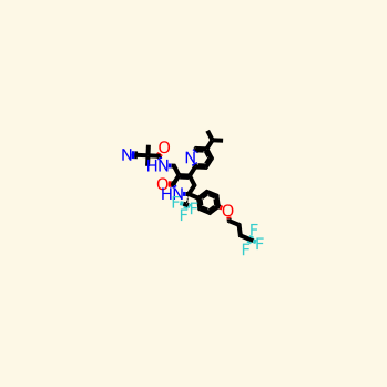 CC(C)c1ccc(C2=C(CNC(=O)C(C)(C)C#N)C(=O)N[C@@](c3ccc(OCCCC(F)(F)F)cc3)(C(F)(F)F)C2)nc1